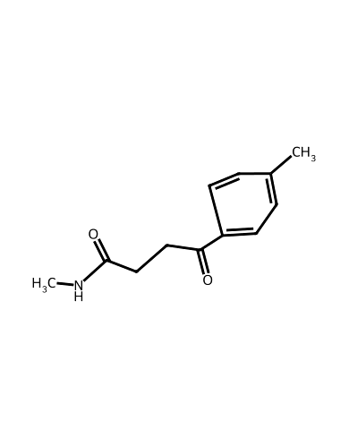 CNC(=O)CCC(=O)c1ccc(C)cc1